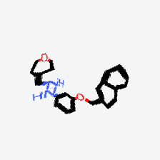 c1cc(NNCC2CCOCC2)cc(OCc2ccc3ccccc3c2)c1